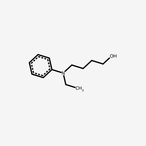 CCN(CCCCO)c1ccccc1